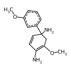 COC1=C(N)C=CC(N)(c2cccc(OC)c2)C1